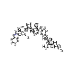 C/C(=C\c1ccccc1)CN1CCC(Nc2nccn(Cc3ccc(CNC(=O)OC(C)(C)C)cc3)c2=O)CC1